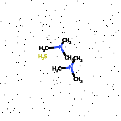 CN(C)C.CN(C)C.S